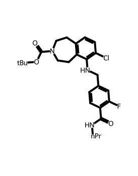 CCCNC(=O)c1ccc(CNc2c(Cl)ccc3c2CCN(C(=O)OC(C)(C)C)CC3)cc1F